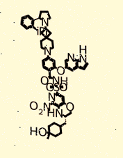 CC(C)c1ccccc1[C@H]1CCCN1C1CC2(CCN(c3ccc(C(=O)NS(=O)(=O)c4cc5c(c([N+](=O)[O-])n4)N[C@@H](CC4CCC(C)(O)CC4)CO5)c(Oc4cnc5[nH]ccc5c4)c3)CC2)C1